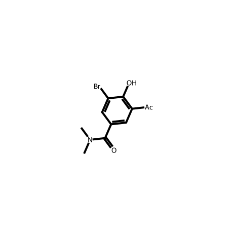 CC(=O)c1cc(C(=O)N(C)C)cc(Br)c1O